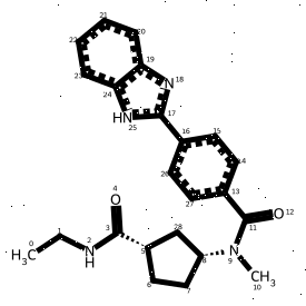 CCNC(=O)[C@H]1CC[C@@H](N(C)C(=O)c2ccc(-c3nc4ccccc4[nH]3)cc2)C1